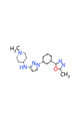 Cc1nnc(-c2cccc(-n3ccc(NC4CCN(C)CC4)n3)c2)o1